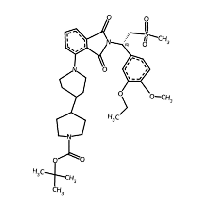 CCOc1cc([C@@H](CS(C)(=O)=O)N2C(=O)c3cccc(N4CCC(C5CCN(C(=O)OC(C)(C)C)CC5)CC4)c3C2=O)ccc1OC